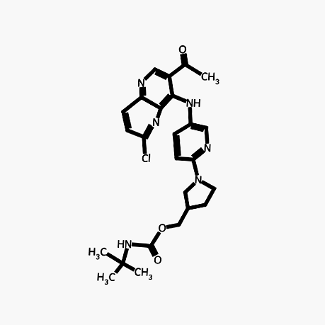 CC(=O)c1cnc2ccc(Cl)nc2c1Nc1ccc(N2CCC(COC(=O)NC(C)(C)C)C2)nc1